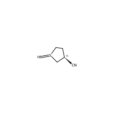 N#C[C@@H]1CCS(=N)C1